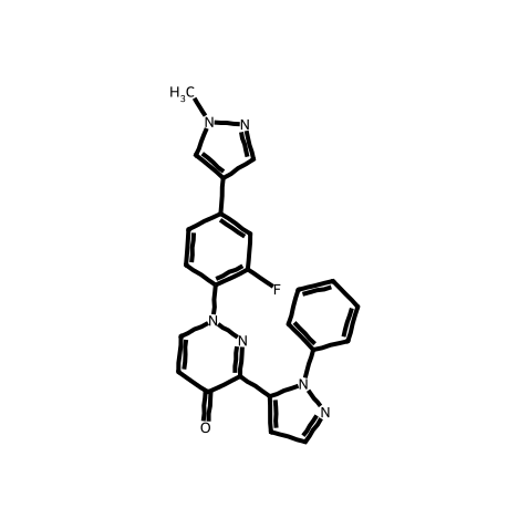 Cn1cc(-c2ccc(-n3ccc(=O)c(-c4ccnn4-c4ccccc4)n3)c(F)c2)cn1